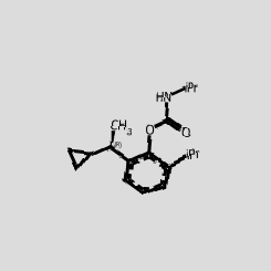 CC(C)NC(=O)Oc1c(C(C)C)cccc1[C@H](C)C1CC1